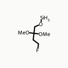 COC(CCF)(CO[SiH3])OC